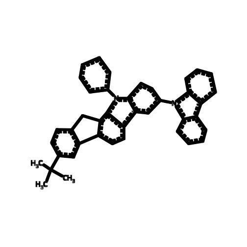 CC(C)(C)c1ccc2c(c1)-c1ccc3c4cc(-n5c6ccccc6c6ccccc65)ccc4n(-c4ccccc4)c3c1C2